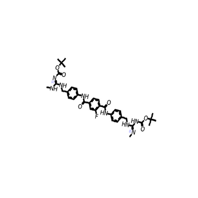 C/N=C(\NCc1ccc(NC(=O)c2ccc(C(=O)Nc3ccc(CN/C(=N\C(=O)OC(C)(C)C)NC)cc3)cc2F)cc1)NC(=O)OC(C)(C)C